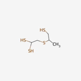 CC(CS)SCC(S)S